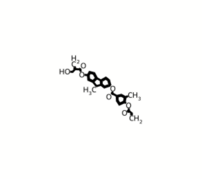 C=CC(=O)Oc1ccc(C(=O)Oc2ccc3c(c2)C(C)c2cc(OC(=O)C(=C)CO)ccc2-3)cc1C